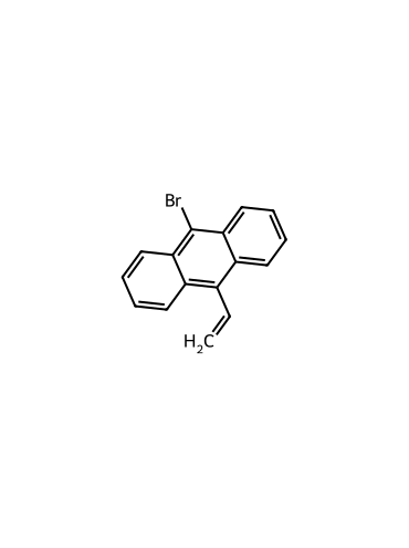 C=Cc1c2ccccc2c(Br)c2ccccc12